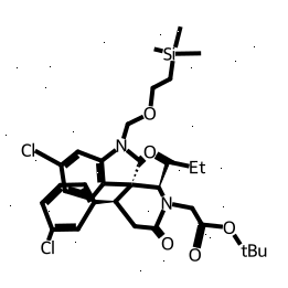 C=C(CC)[C@H]1N(CC(=O)OC(C)(C)C)C(=O)C[C@@H](c2cccc(Cl)c2)[C@]12C(=O)N(COCC[Si](C)(C)C)c1cc(Cl)ccc12